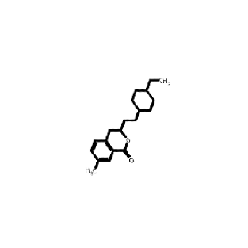 CCC1CCC(CCC2Cc3ccc(C)cc3C(=O)O2)CC1